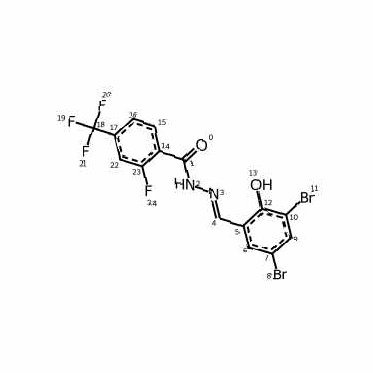 O=C(NN=Cc1cc(Br)cc(Br)c1O)c1ccc(C(F)(F)F)cc1F